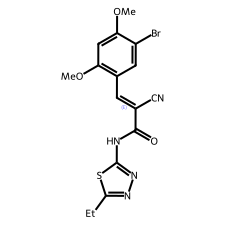 CCc1nnc(NC(=O)/C(C#N)=C/c2cc(Br)c(OC)cc2OC)s1